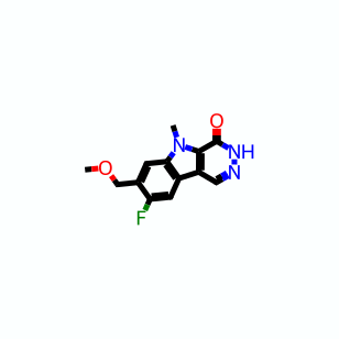 COCc1cc2c(cc1F)c1cn[nH]c(=O)c1n2C